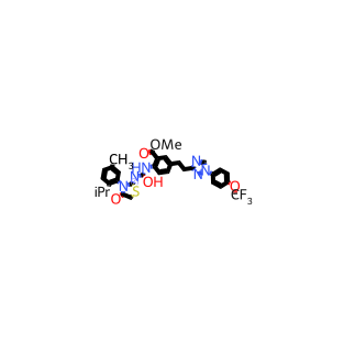 COC(=O)c1cc(CCc2ncn(-c3ccc(OC(F)(F)F)cc3)n2)ccc1NC(O)/N=C1\SCC(=O)N1c1cc(C)ccc1C(C)C